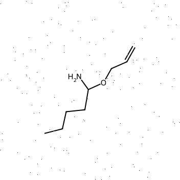 C=CCOC(N)CCCC